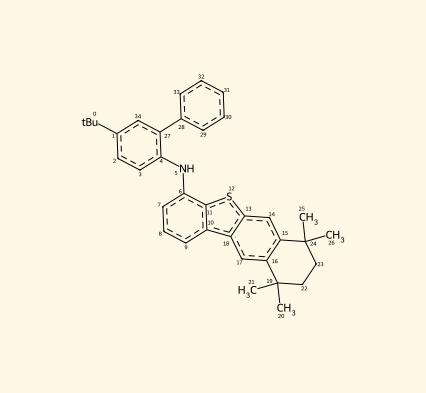 CC(C)(C)c1ccc(Nc2cccc3c2sc2cc4c(cc23)C(C)(C)CCC4(C)C)c(-c2ccccc2)c1